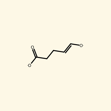 [O]C=CCCC([O])=O